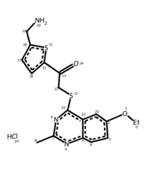 CCOc1ccc2nc(C)nc(SCC(=O)c3ccc(CN)s3)c2c1.Cl